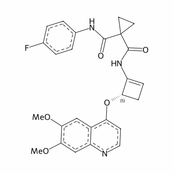 COc1cc2nccc(O[C@H]3CC=C3NC(=O)C3(C(=O)Nc4ccc(F)cc4)CC3)c2cc1OC